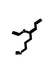 C=C/C=C(/CCCC(C)CC)SC=C